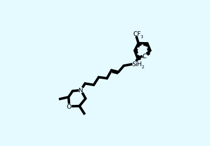 CC1CN(CCCCC=CC[SiH2]c2cccc(C(F)(F)F)c2)CC(C)O1